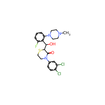 CN1CCN(c2cccc(F)c2C(O)C2SCCN(c3ccc(Cl)c(Cl)c3)C2=O)CC1